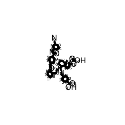 N#Cc1ccc2oc(-c3ccc(COc4ccccc4CCN(CCc4ccc(C(=O)O)cc4)C4CCCc5nc(OC(=O)O)ccc54)cc3)nc2c1